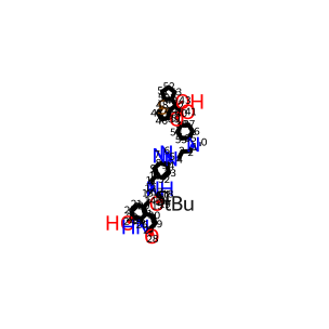 CN(CCCn1nnc2cc(CNC[C@H](O[Si](C)(C)C(C)(C)C)c3ccc(O)c4[nH]c(=O)ccc34)ccc21)[C@H]1CC[C@H](OC(=O)[C@](O)(c2cccs2)C2CCCC2)CC1